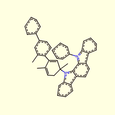 CC1=CCC(C)(n2c3ccccc3c3ccc4c5ccccc5n(-c5ccccc5)c4c32)C=C1c1ccc(-c2ccccc2)cc1C